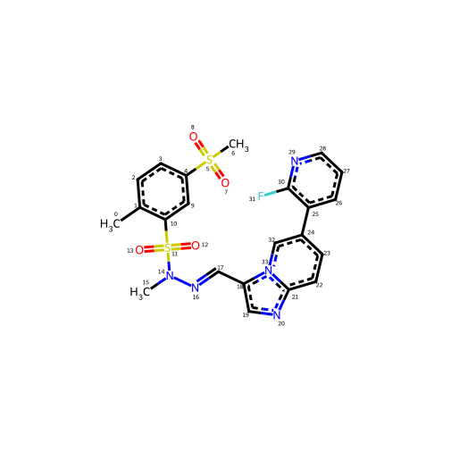 Cc1ccc(S(C)(=O)=O)cc1S(=O)(=O)N(C)N=Cc1cnc2ccc(-c3cccnc3F)cn12